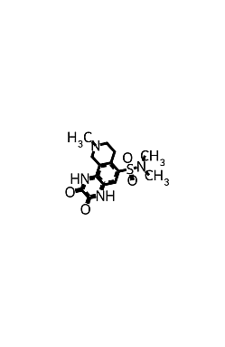 CN1CCc2c(S(=O)(=O)N(C)C)cc3[nH]c(=O)c(=O)[nH]c3c2C1